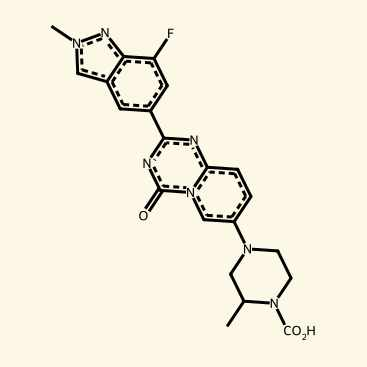 CC1CN(c2ccc3nc(-c4cc(F)c5nn(C)cc5c4)nc(=O)n3c2)CCN1C(=O)O